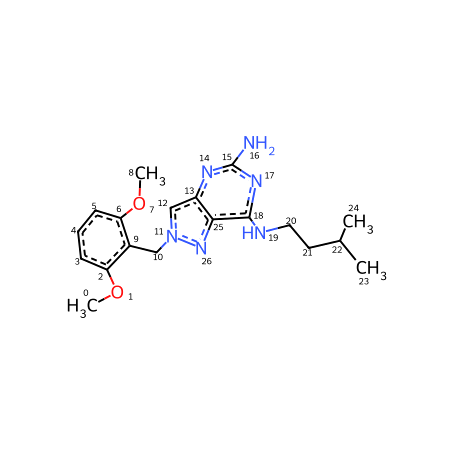 COc1cccc(OC)c1Cn1cc2nc(N)nc(NCCC(C)C)c2n1